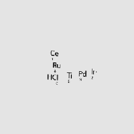 Cl.[Ce].[Ir].[Pd].[Ru].[Ti]